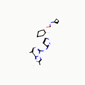 COCc1cn2c(Nc3cc([C@@H]4CC[C@H](OC(=O)NC56CC(C5)C6)[C@H]4F)[nH]n3)ncc(C#N)c2n1